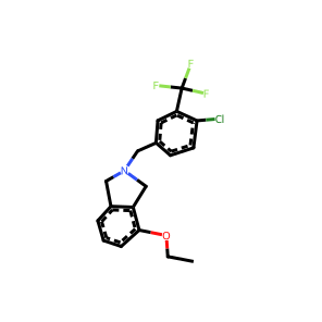 CCOc1cccc2c1CN(Cc1ccc(Cl)c(C(F)(F)F)c1)C2